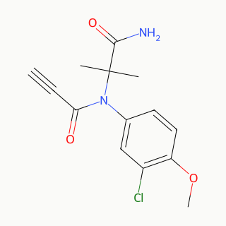 C#CC(=O)N(c1ccc(OC)c(Cl)c1)C(C)(C)C(N)=O